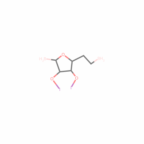 BCCC1OC(B)C(OI)C1OI